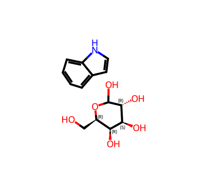 OC[C@H]1OC(O)[C@H](O)[C@@H](O)[C@H]1O.c1ccc2[nH]ccc2c1